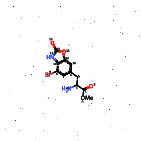 COC(=O)C(N)Cc1cc(Br)c2[nH]c(=O)oc2c1